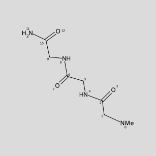 CNCC(=O)NCC(=O)NCC(N)=O